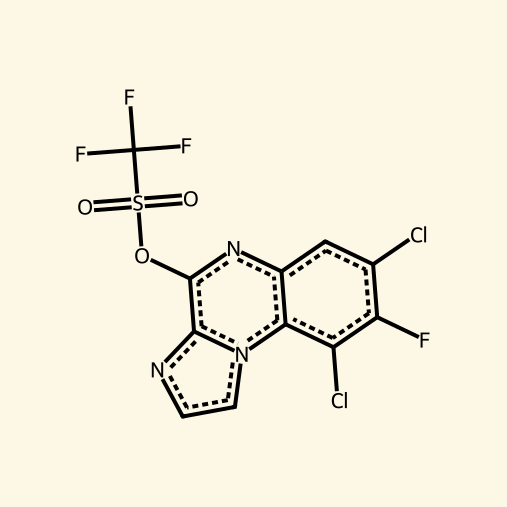 O=S(=O)(Oc1nc2cc(Cl)c(F)c(Cl)c2n2ccnc12)C(F)(F)F